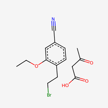 CC(=O)CC(=O)O.CCOc1cc(C#N)ccc1CCBr